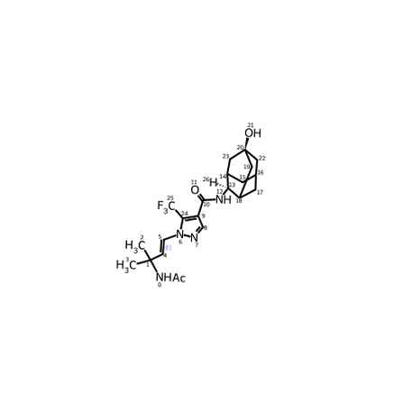 CC(=O)NC(C)(C)/C=C/n1ncc(C(=O)N[C@H]2C3CC4CC2C[C@@](O)(C4)C3)c1C(F)(F)F